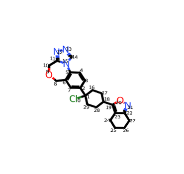 ClC1(c2ccc3c(c2)COCc2nncn2-3)CCC(c2onc3c2CCCC3)CC1